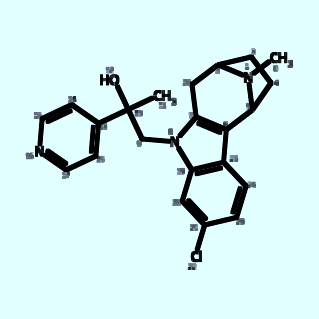 CN1C2CCC1c1c(n(CC(C)(O)c3ccncc3)c3cc(Cl)ccc13)C2